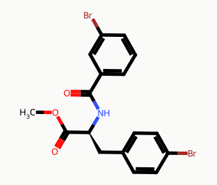 COC(=O)[C@H](Cc1ccc(Br)cc1)NC(=O)c1cccc(Br)c1